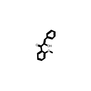 COc1ccccc1C(=O)C(O)=Cc1ccccc1